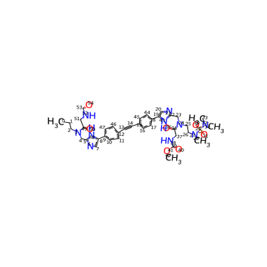 CCCN(Cc1ncc(-c2ccc(C#Cc3ccc(-c4cnc(CN(CCN(C)S(=O)(=O)N(C)C)C(=O)CNC(=O)OC)[nH]4)cc3)cc2)[nH]1)C(=O)CNC=O